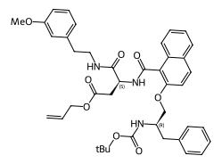 C=CCOC(=O)C[C@H](NC(=O)c1c(OC[C@@H](Cc2ccccc2)NC(=O)OC(C)(C)C)ccc2ccccc12)C(=O)NCCc1cccc(OC)c1